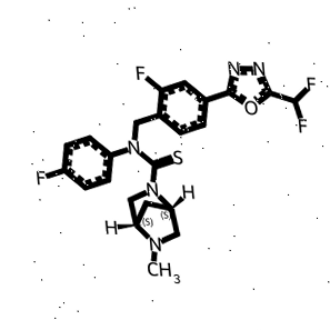 CN1C[C@@H]2C[C@H]1CN2C(=S)N(Cc1ccc(-c2nnc(C(F)F)o2)cc1F)c1ccc(F)cc1